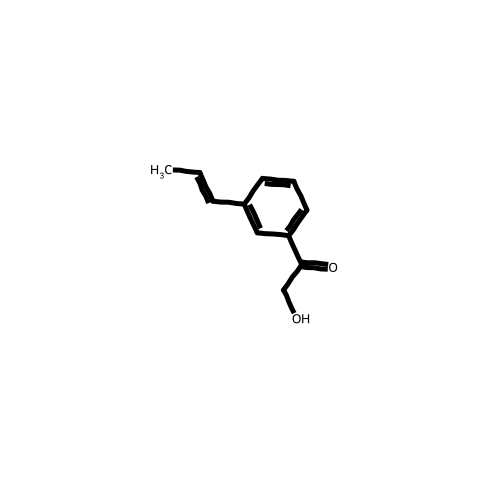 CC=Cc1cccc(C(=O)CO)c1